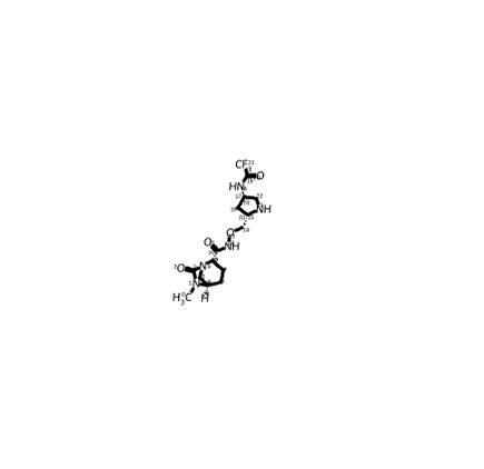 CN1C(=O)N2C[C@H]1CC[C@H]2C(=O)NOC[C@@H]1C[C@H](NC(=O)C(F)(F)F)CN1